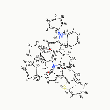 c1ccc(-n2c3ccccc3c3c(-c4ccccc4N(c4ccccc4-c4cccc5c4sc4ccccc45)c4ccccc4-c4cccc5cccc(C6CCCCC6)c45)cccc32)cc1